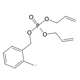 [CH2]c1ccccc1COP(=O)(OCC=C)OCC=C